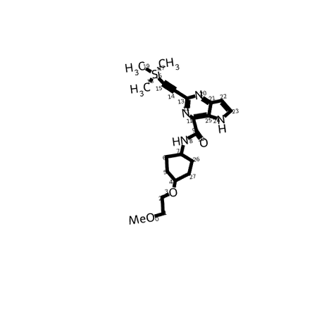 COCCOC1CCC(NC(=O)c2nc(C#C[Si](C)(C)C)nc3cc[nH]c23)CC1